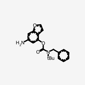 CC(C)(C)N(Cc1ccccc1)C(=O)Oc1cc(N)cc2occc12